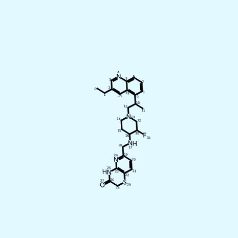 CCc1cnc2cccc(C(C)CN3CCC(NCc4ccc5c(n4)NC(=O)CS5)C(F)C3)c2c1